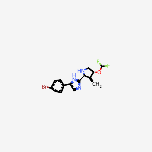 C=C1[C@H](OC(F)F)CN[C@@H]1c1ncc(-c2ccc(Br)cc2)[nH]1